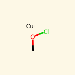 COCl.[Cu]